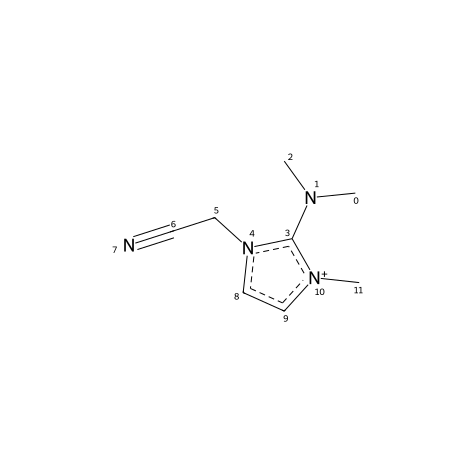 CN(C)c1n(CC#N)cc[n+]1C